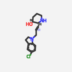 O[C@H]1CCCN[C@@H]1/C=C/CN1CCc2cc(Cl)ccc21